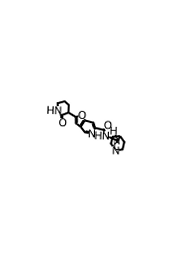 O=C(N[C@H]1CN2CCC1CC2)c1cc2oc(C3CCCNC3=O)cc2cn1